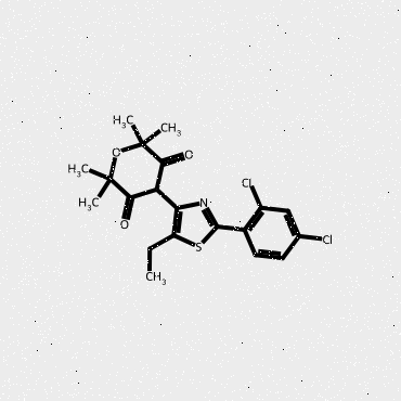 CCc1sc(-c2ccc(Cl)cc2Cl)nc1C1C(=O)C(C)(C)OC(C)(C)C1=O